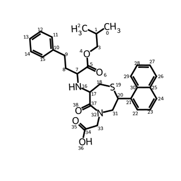 CC(C)COC(=O)C(CCc1ccccc1)NC1CSC(c2cccc3ccccc23)CN(CC(=O)O)C1=O